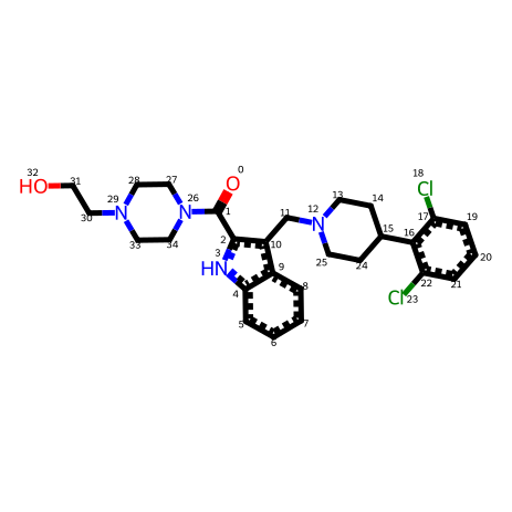 O=C(c1[nH]c2ccccc2c1CN1CCC(c2c(Cl)cccc2Cl)CC1)N1CCN(CCO)CC1